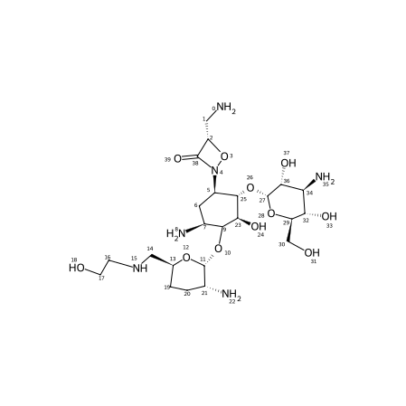 NC[C@@H]1ON([C@@H]2C[C@H](N)C(O[C@H]3O[C@H](CNCCO)CC[C@H]3N)[C@H](O)[C@H]2O[C@H]2O[C@H](CO)[C@@H](O)[C@H](N)[C@H]2O)C1=O